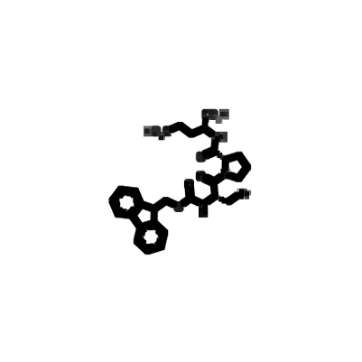 CC(C)C[C@H](NC(=O)OCC1c2ccccc2-c2ccccc21)C(=O)N1CCC[C@H]1C(=O)N[C@@H](CCC(=O)O)C(=O)O